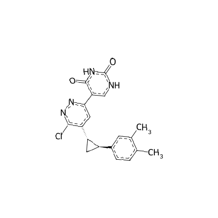 Cc1ccc([C@H]2C[C@@H]2c2cc(-c3c[nH]c(=O)[nH]c3=O)nnc2Cl)cc1C